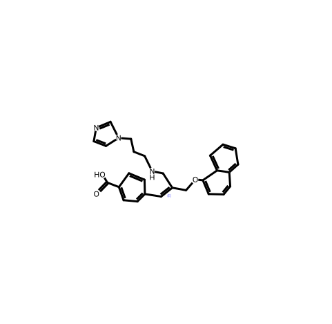 O=C(O)c1ccc(/C=C(\CNCCCn2ccnc2)COc2cccc3ccccc23)cc1